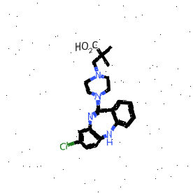 CC(C)(CN1CCN(C2=Nc3cc(Cl)ccc3Nc3ccccc32)CC1)C(=O)O